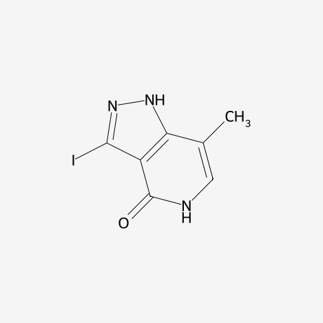 Cc1c[nH]c(=O)c2c(I)n[nH]c12